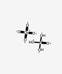 O=P(O)(O)O.[O]=[Os](=[O])(=[O])=[O]